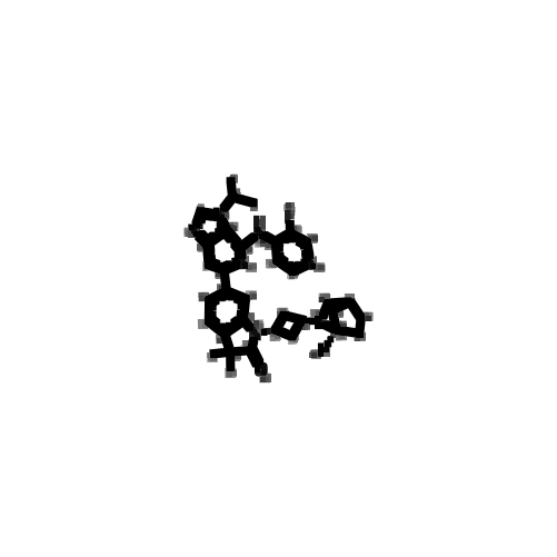 CC(C)n1cnc2cc(-c3ccc4c(c3)N([C@H]3C[C@@H](N5CC6CC[C@@H]5C6)C3)C(=O)C4(C)C)nc(Nc3ccncc3F)c21